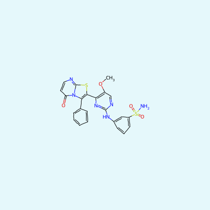 COc1cnc(Nc2cccc(S(N)(=O)=O)c2)nc1-c1sc2nccc(=O)n2c1-c1ccccc1